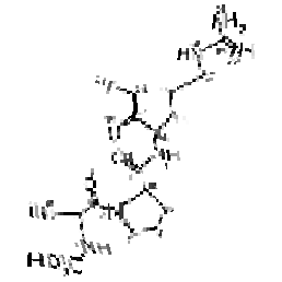 CCC(C)C(NC(=O)O)C(=O)N1CCC[C@H]1C(=O)NC(CCCNC(=N)N)C(=O)CF